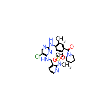 Cc1cc(C(=O)N2CCCCC2)ccc1Nc1ncc(Cl)c(NCc2cccnc2N(C)S(C)(=O)=O)n1